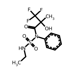 CCNS(=O)(=O)N(C(=O)C(C)(O)C(F)(F)F)c1ccccc1